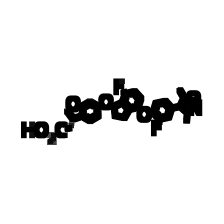 Cc1noc(C)c1-c1ccc(Oc2ccc(F)c3c2CC[C@H]3Oc2ccc3c(c2)OC[C@H]3CC(=O)O)c(F)c1